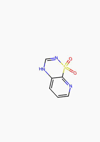 O=S1(=O)N=CNc2cccnc21